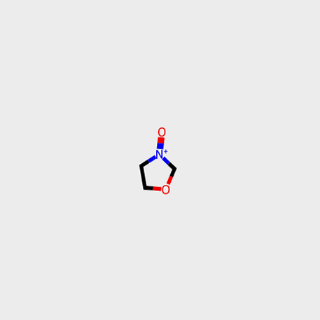 O=[N+]1CCOC1